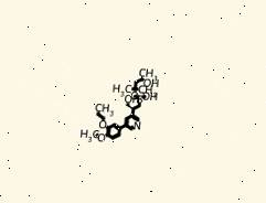 CCCOc1cc(-c2cncc([C@@H](CO)CB(O)OC(C)(C)C[C@H](C)O)c2)ccc1OC